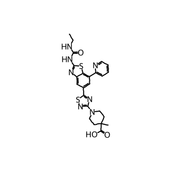 CCNC(=O)Nc1nc2cc(-c3nc(N4CCC(C)(C(=O)O)CC4)ns3)cc(-c3ccccn3)c2s1